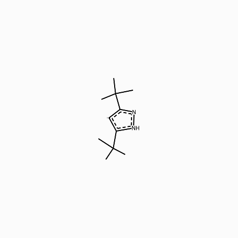 CC(C)(C)c1[c]c(C(C)(C)C)[nH]n1